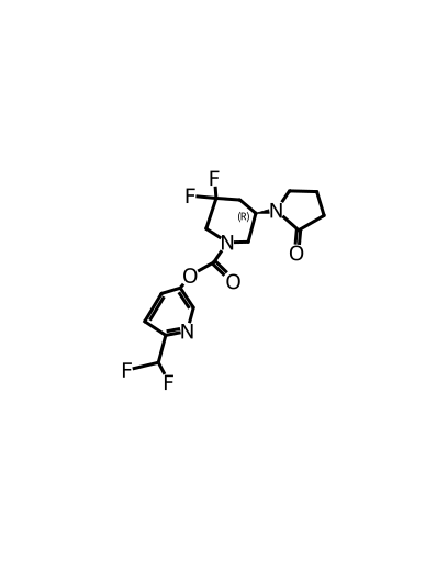 O=C(Oc1ccc(C(F)F)nc1)N1C[C@H](N2CCCC2=O)CC(F)(F)C1